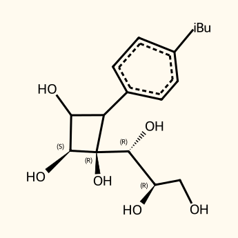 CCC(C)c1ccc(C2C(O)[C@H](O)[C@@]2(O)[C@H](O)[C@H](O)CO)cc1